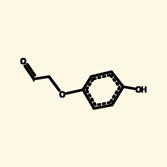 O=[C]COc1ccc(O)cc1